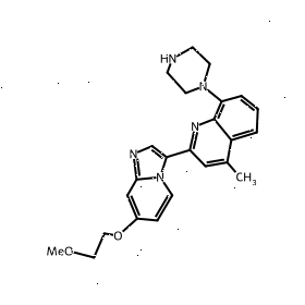 COCCOc1ccn2c(-c3cc(C)c4cccc(N5CCNCC5)c4n3)cnc2c1